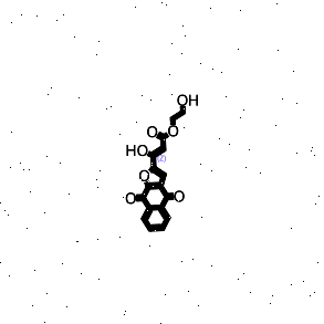 O=C(/C=C(\O)c1cc2c(o1)C(=O)c1ccccc1C2=O)OCCO